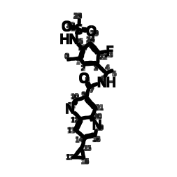 Cc1cc(C(C)NC(=O)c2cnc3cc(C4CC4)cnc3c2)c(F)cc1NS(C)(=O)=O